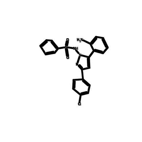 Nc1ccccc1-c1cc(-c2ccc(Cl)cc2)nn1NS(=O)(=O)c1ccccc1